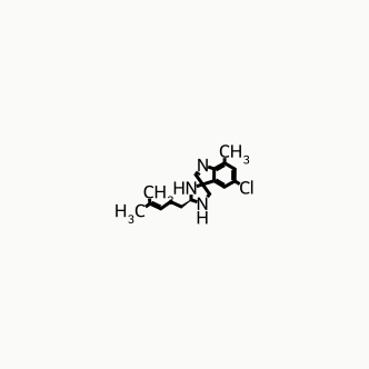 CC(C)=CCC[C@@H]1NCC2(C=Nc3c(C)cc(Cl)cc32)N1